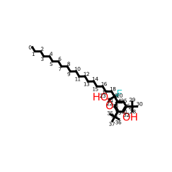 CCCCCCCCCCCCCCCCCCCC(F)(C(=O)O)c1cc(C(C)(C)C)c(O)c(C(C)(C)C)c1